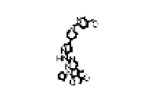 CC(=O)c1c(C)c2cnc(Nc3ccc(C4CCN(Cc5ccc(C=O)cn5)CC4)cn3)nc2n(C2CCCC2)c1=O